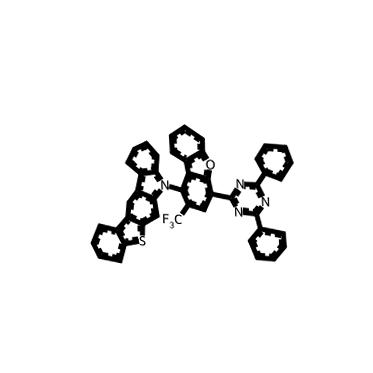 FC(F)(F)c1cc(-c2nc(-c3ccccc3)nc(-c3ccccc3)n2)c2oc3ccccc3c2c1-n1c2ccccc2c2cc3c(cc21)sc1ccccc13